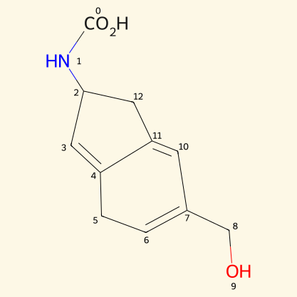 O=C(O)NC1C=C2CC=C(CO)C=C2C1